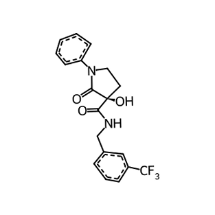 O=C(NCc1cccc(C(F)(F)F)c1)[C@@]1(O)CCN(c2ccccc2)C1=O